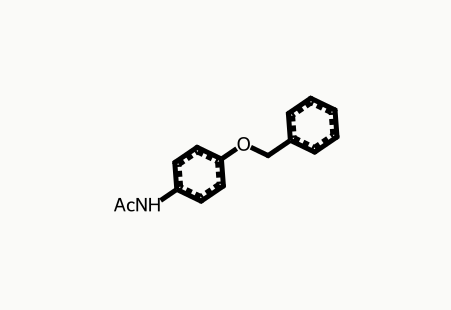 CC(=O)Nc1ccc(OCc2ccccc2)cc1